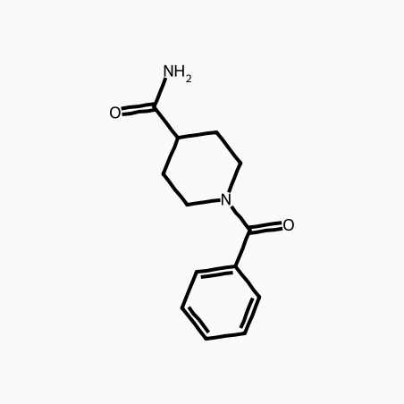 NC(=O)C1CCN(C(=O)c2ccccc2)CC1